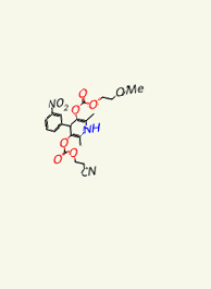 COCCOC(=O)OC1=C(C)NC(C)=C(OC(=O)OCCC#N)C1c1cccc([N+](=O)[O-])c1